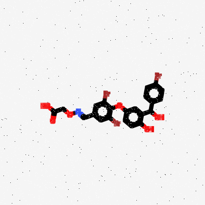 O=C(O)CON=Cc1cc(Br)c(Oc2ccc(O)c(C(O)c3ccc(Br)cc3)c2)c(Br)c1